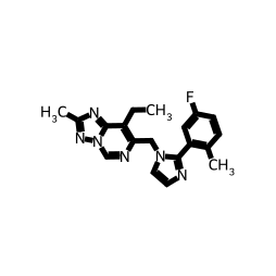 CCc1c(Cn2ccnc2-c2cc(F)ccc2C)ncn2nc(C)nc12